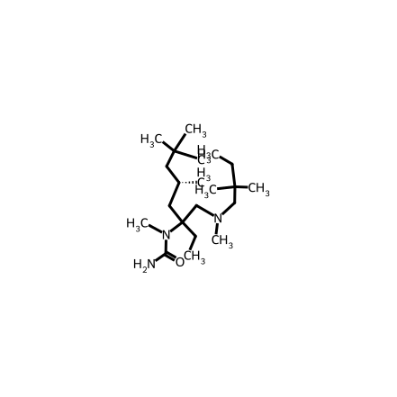 CCC(C)(C)CN(C)CC(CC)(C[C@@H](C)CC(C)(C)C)N(C)C(N)=O